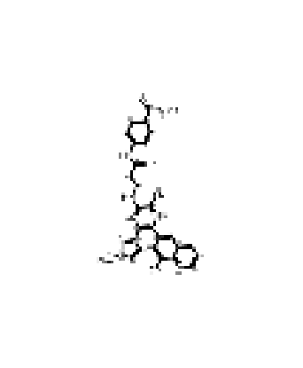 COC(=O)c1ccc(NC(=O)CCNc2nc(-c3ccn(C)n3)c(-c3cc(Cl)c4ncccc4c3)nc2C#N)cc1